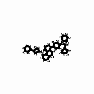 c1ccc(-c2ccc(-n3c4cccc5ccc6c(-c7ccc(-n8c(-c9ccccc9)nc9ccccc98)cc7)ccc3c6c54)cc2)cc1